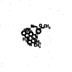 C=CC(=O)N1CCN(c2nc(=O)n(-c3c(C)ccnc3C(C)C)c3c4c(c(C)cc23)-c2c(P)cccc2CO4)C[C@H]1CC#N